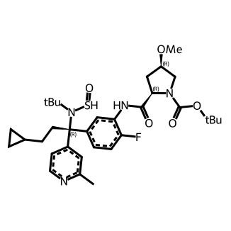 CO[C@@H]1C[C@H](C(=O)Nc2cc([C@](CCC3CC3)(c3ccnc(C)c3)N([SH]=O)C(C)(C)C)ccc2F)N(C(=O)OC(C)(C)C)C1